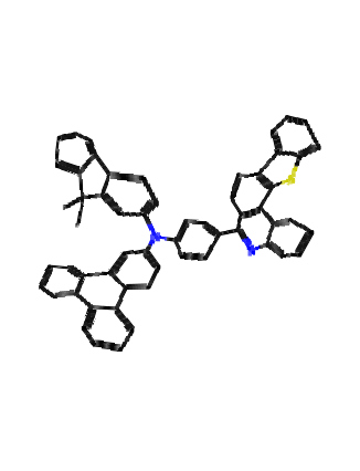 CC1(C)c2ccccc2-c2ccc(N(c3ccc(-c4nc5ccccc5c5c4ccc4c6ccccc6sc45)cc3)c3ccc4c5ccccc5c5ccccc5c4c3)cc21